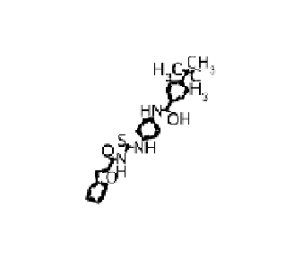 CC(C)(C)c1ccc(C(O)Nc2ccc(NC(=S)NC(=O)c3cc4ccccc4o3)cc2)cc1